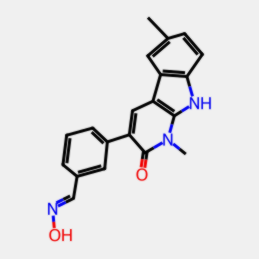 Cc1ccc2[nH]c3c(cc(-c4cccc(/C=N/O)c4)c(=O)n3C)c2c1